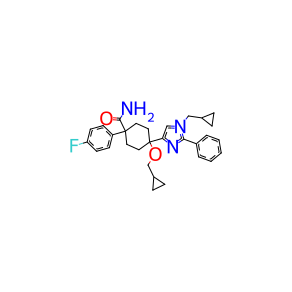 NC(=O)C1(c2ccc(F)cc2)CCC(OCC2CC2)(c2cn(CC3CC3)c(-c3ccccc3)n2)CC1